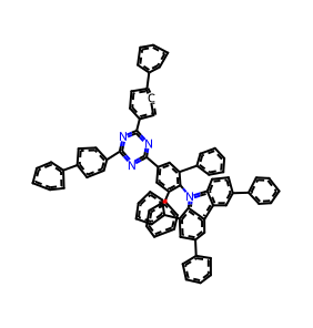 c1ccc(-c2ccc(-c3nc(-c4ccc(-c5ccccc5)cc4)nc(-c4cc(-c5ccccc5)c(-n5c6ccc(-c7ccccc7)cc6c6cc(-c7ccccc7)cc(-c7ccccc7)c65)c(-c5ccccc5)c4)n3)cc2)cc1